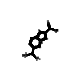 CC(C)c1ccc2nc(C(=O)O)cn2c1